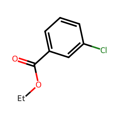 CCOC(=O)c1cccc(Cl)c1